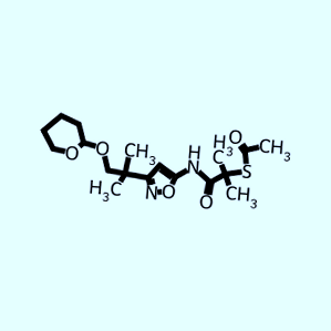 CC(=O)SC(C)(C)C(=O)Nc1cc(C(C)(C)COC2CCCCO2)no1